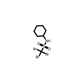 O=S(=O)(NC1CCCCC1)C(Br)(Br)Br